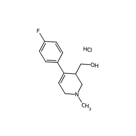 CN1CC=C(c2ccc(F)cc2)C(CO)C1.Cl